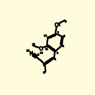 COc1ccc(/C=C(/C)C#N)c(OC)c1